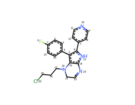 Fc1ccc(-c2c(-c3ccncc3)[nH]c3c2N(CCCCl)CC=N3)cc1